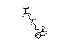 C=C(C)C(=O)OCC(=O)OCCOC1C2CC3C(=O)OC1C3C2